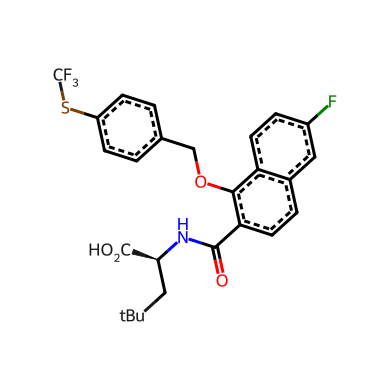 CC(C)(C)C[C@H](NC(=O)c1ccc2cc(F)ccc2c1OCc1ccc(SC(F)(F)F)cc1)C(=O)O